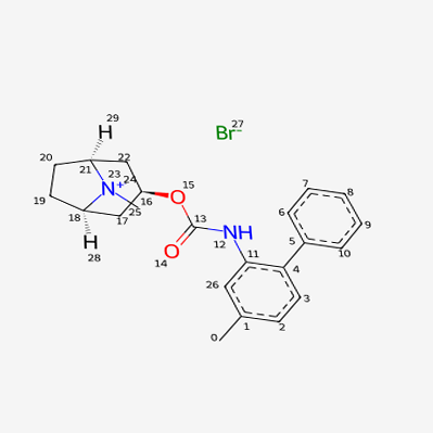 Cc1ccc(-c2ccccc2)c(NC(=O)O[C@H]2C[C@H]3CC[C@@H](C2)[N+]3(C)C)c1.[Br-]